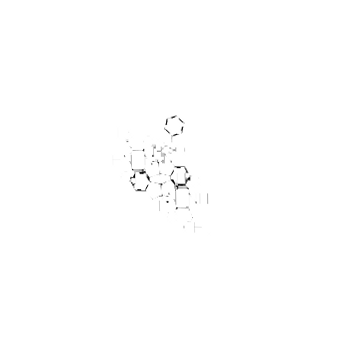 CC[C@@H]1NC(=O)[C@@H]2C[C@]3(C45C[C@H]6C(=O)N[C@@H](CC)C(=O)N6[C@H]4N(S(=O)(=O)c4ccccc4)c4ccccc45)c4ccccc4C[C@@H]3N2C1=O